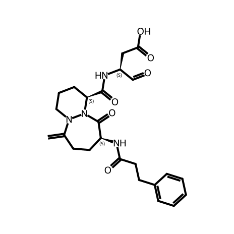 C=C1CC[C@H](NC(=O)CCc2ccccc2)C(=O)N2[C@H](C(=O)N[C@H](C=O)CC(=O)O)CCCN12